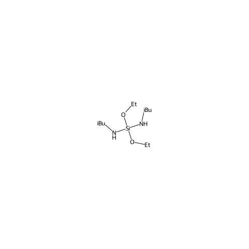 CCO[Si](NC(C)CC)(NC(C)CC)OCC